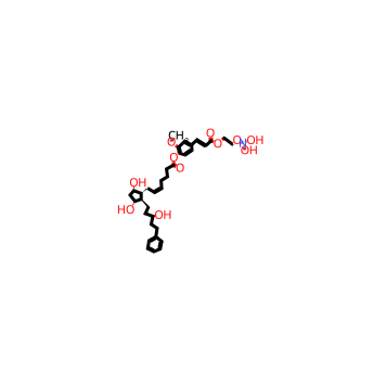 COc1cc(/C=C/C(=O)OCCON(O)O)ccc1OC(=O)CCC/C=C\C[C@@H]1[C@@H](CC[C@@H](O)CCc2ccccc2)[C@H](O)C[C@@H]1O